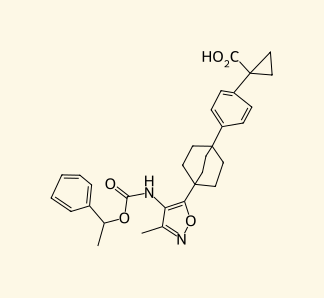 Cc1noc(C23CCC(c4ccc(C5(C(=O)O)CC5)cc4)(CC2)CC3)c1NC(=O)OC(C)c1ccccc1